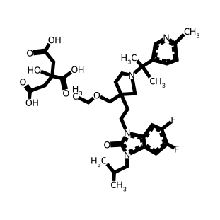 CCOCC1(CCn2c(=O)n(CC(C)C)c3cc(F)c(F)cc32)CCN(C(C)(C)c2ccc(C)nc2)C1.O=C(O)CC(O)(CC(=O)O)C(=O)O